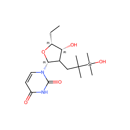 CC[C@H]1O[C@@H](n2ccc(=O)[nH]c2=O)C(CC(C)(C)[Si](C)(C)O)[C@H]1O